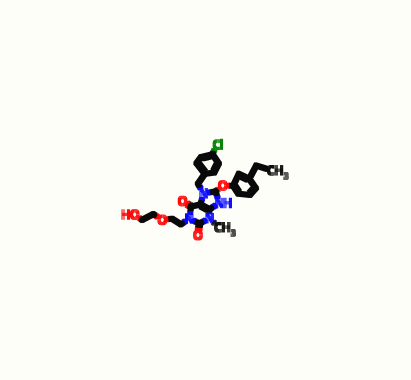 CCc1cccc(OC2Nc3c(c(=O)n(CCOCCO)c(=O)n3C)N2Cc2ccc(Cl)cc2)c1